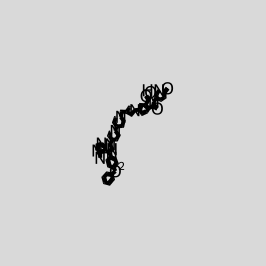 Nc1ncnc2c1c(-c1ccc(Oc3ccccc3)cc1)nn2C1CCN(C2CCN(CC3CN(c4ccc5c(c4)C(=O)N(C4CCC(=O)NC4=O)C5=O)C3)CC2)CC1